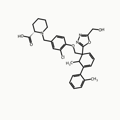 Cc1ccccc1C1=CC=CC(COc2ccc(CN3CCCC[C@H]3C(=O)O)cc2Cl)(c2nnc(CO)o2)C1C